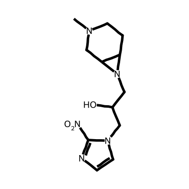 CN1CCC2C(C1)N2CC(O)Cn1ccnc1[N+](=O)[O-]